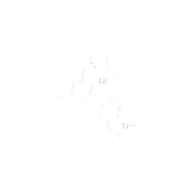 Cn1ccc2cc(-c3cc(Cl)cc4c3NS(=O)(=O)NC4)ccc21